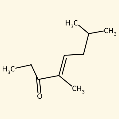 CCC(=O)C(C)=CCC(C)C